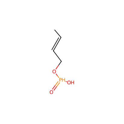 CC=CCO[PH](=O)O